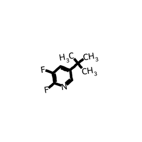 CC(C)(C)c1cnc(F)c(F)c1